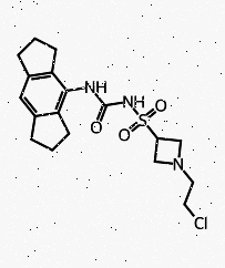 O=C(Nc1c2c(cc3c1CCC3)CCC2)NS(=O)(=O)C1CN(CCCl)C1